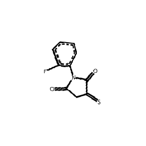 O=C1CC(=S)C(=O)N1c1ccccc1F